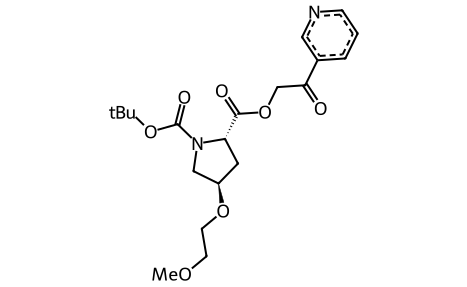 COCCO[C@@H]1C[C@@H](C(=O)OCC(=O)c2cccnc2)N(C(=O)OC(C)(C)C)C1